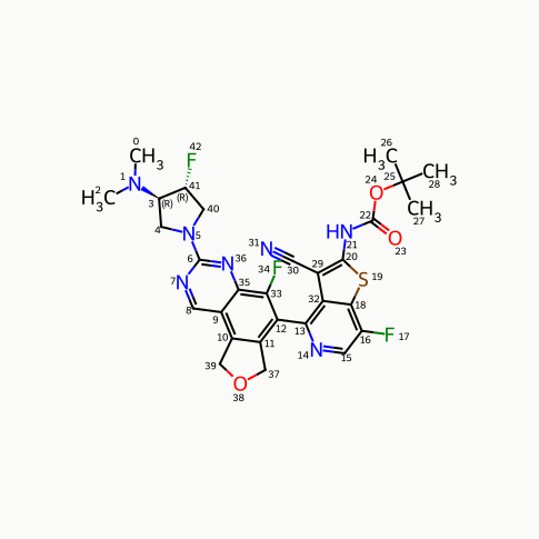 CN(C)[C@@H]1CN(c2ncc3c4c(c(-c5ncc(F)c6sc(NC(=O)OC(C)(C)C)c(C#N)c56)c(F)c3n2)COC4)C[C@H]1F